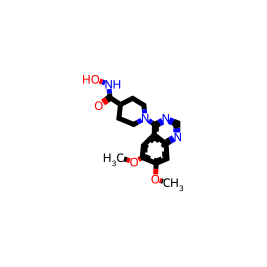 COc1cc2ncnc(N3CCC(C(=O)NO)CC3)c2cc1OC